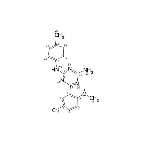 COc1ccc(Cl)cc1-c1nc(N)nc(Nc2ccc(C)cc2)n1